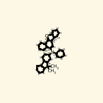 CC1(C)c2ccccc2-c2ccc(N(c3ccccc3)c3cc4c5ccccc5oc4c4ccccc34)cc21